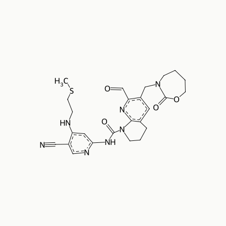 CSCCNc1cc(NC(=O)N2CCCc3cc(CN4CCCCOC4=O)c(C=O)nc32)ncc1C#N